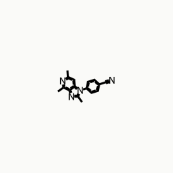 Cc1cc2c(nc(C)n2-c2ccc(C#N)cc2)c(C)n1